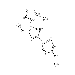 COc1ccc(-c2cn(CN)c(-c3nonc3N)n2)cc1